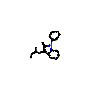 C=c1/c(=C\C(C)=C/C)c2ccccc2n1-c1ccccc1